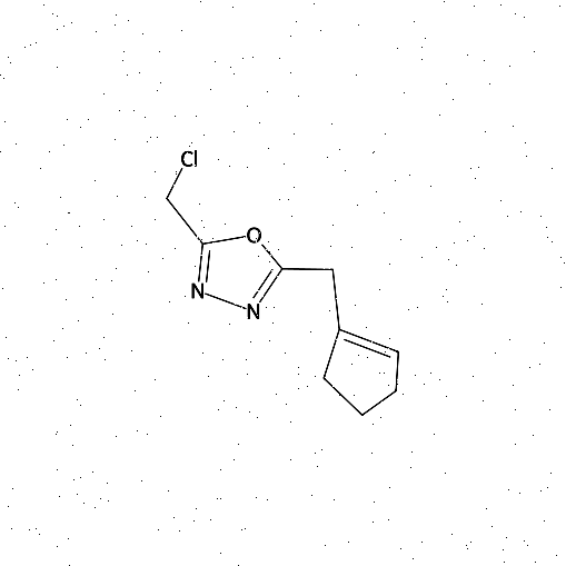 ClCc1nnc(CC2=CCCC2)o1